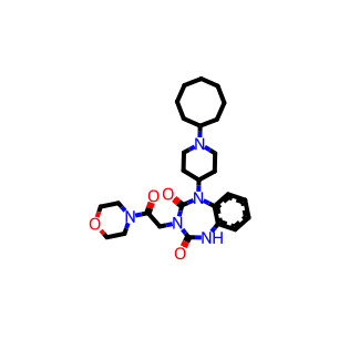 O=C(CN1C(=O)Nc2ccccc2N(C2CCN(C3CCCCCCC3)CC2)C1=O)N1CCOCC1